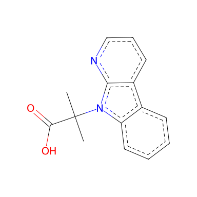 CC(C)(C(=O)O)n1c2ccccc2c2cccnc21